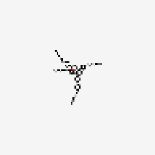 CCCCCCCc1ccc(C(OC(c2ccc(CCCCCCC)cc2)[C@H]2CC[C@H]([C@H]3CC[C@H](CCCCCCC)CC3)CC2)[C@H]2CC[C@H]([C@H]3CC[C@H](CCCCCCC)CC3)CC2)cc1